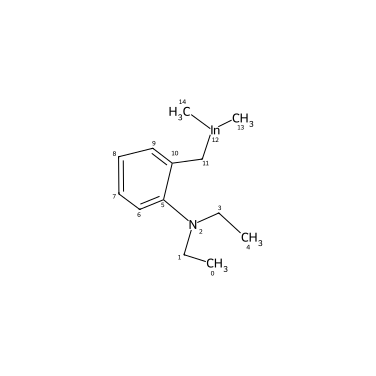 CCN(CC)c1ccccc1[CH2][In]([CH3])[CH3]